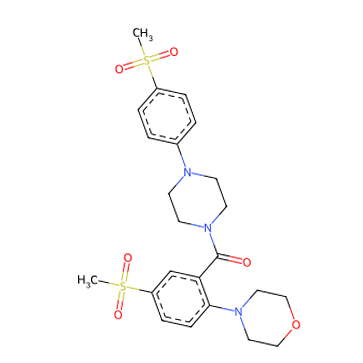 CS(=O)(=O)c1ccc(N2CCN(C(=O)c3cc(S(C)(=O)=O)ccc3N3CCOCC3)CC2)cc1